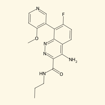 CCCNC(=O)c1nnc2c(-c3cnccc3OC)c(F)ccc2c1N